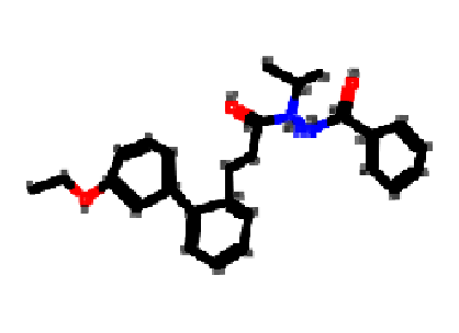 CCOc1cccc(-c2ccccc2CCC(=O)N(NC(=O)c2ccccc2)C(C)C)c1